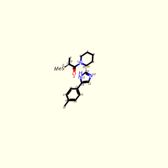 CS[C@@H](C)C(=O)N1CCCC[C@@H]1c1ncc(-c2ccc(C)cc2)[nH]1